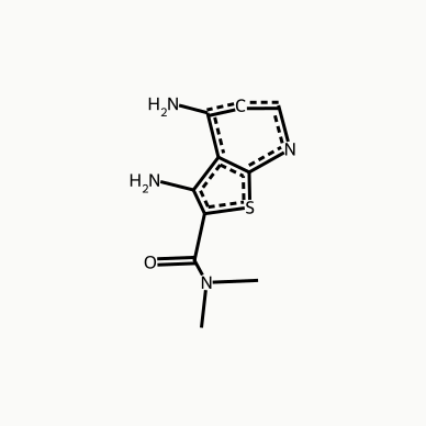 CN(C)C(=O)c1sc2nccc(N)c2c1N